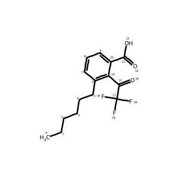 CCCCCCc1cccc(C(=O)O)c1C(=O)C(F)(F)F